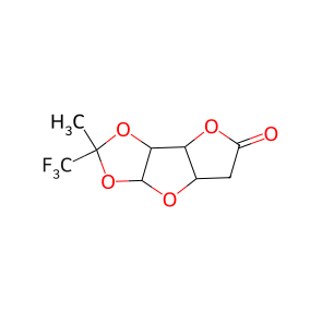 CC1(C(F)(F)F)OC2OC3CC(=O)OC3C2O1